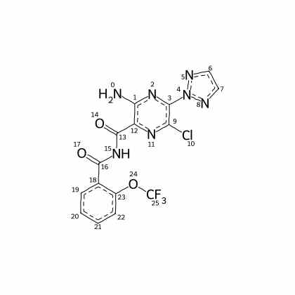 Nc1nc(-n2nccn2)c(Cl)nc1C(=O)NC(=O)c1ccccc1OC(F)(F)F